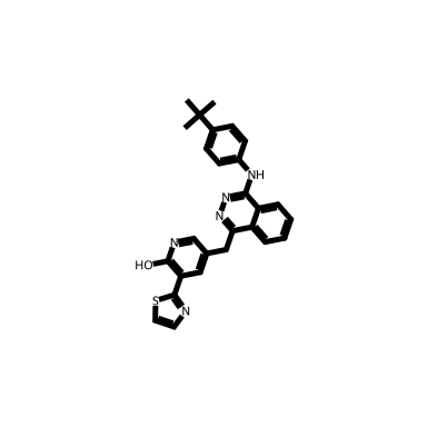 CC(C)(C)c1ccc(Nc2nnc(Cc3cnc(O)c(-c4nccs4)c3)c3ccccc23)cc1